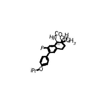 CC(C)Oc1ccc(-c2cc3c(cc2F)[C@@H](NC(=O)O)C(C)(C)CC3)cc1